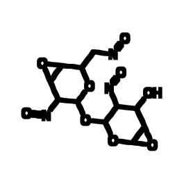 O=NCC1OC(OC2OC3OC3C(O)C2N=O)C(N=O)C2OC12